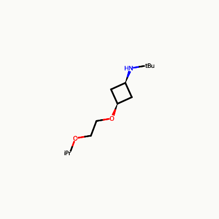 CC(C)OCCO[C@H]1C[C@@H](NC(C)(C)C)C1